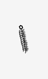 FC(F)(F)C(F)(F)C(F)(F)C(F)(F)C(F)(F)C(F)(F)C(F)(F)C(F)(F)C(F)(F)C(F)(F)C(F)(F)c1[c]cccc1